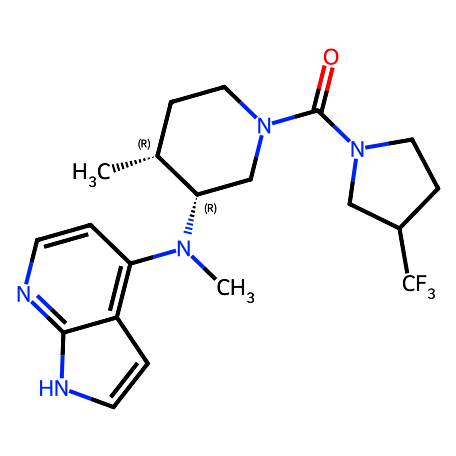 C[C@@H]1CCN(C(=O)N2CCC(C(F)(F)F)C2)C[C@@H]1N(C)c1ccnc2[nH]ccc12